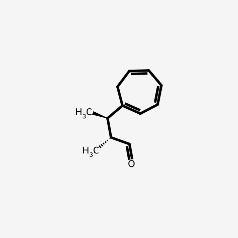 C[C@@H](C=O)[C@@H](C)C1=CC=CC=CC1